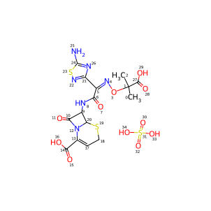 CC(C)(O/N=C(\C(=O)NC1C(=O)N2C(C(=O)O)=CCSC12)c1nsc(N)n1)C(=O)O.O=S(=O)(O)O